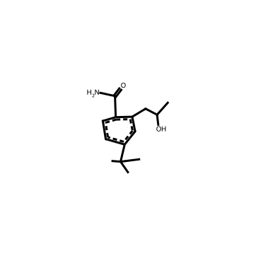 CC(O)Cc1cc(C(C)(C)C)ccc1C(N)=O